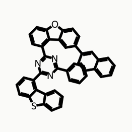 c1ccc(-c2nc(-c3cccc4oc5ccc(-c6ccc7ccccc7c6)cc5c34)nc(-c3cccc4sc5ccccc5c34)n2)cc1